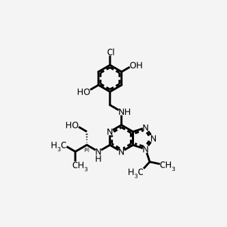 CC(C)[C@H](CO)Nc1nc(NCc2cc(O)c(Cl)cc2O)c2nnn(C(C)C)c2n1